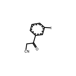 N#CCC(=O)c1cccc(I)c1